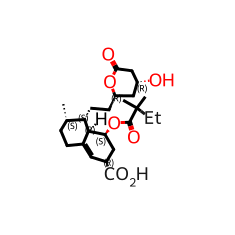 CCC(C)(C)C(=O)O[C@H]1C[C@@H](C(=O)O)C=C2CC[C@H](C)[C@H](CC[C@@H]3C[C@@H](O)CC(=O)O3)[C@H]21